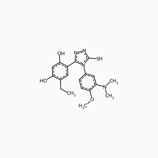 CCc1cc(-c2nnc(S)n2-c2ccc(OC)c(N(C)C)c2)c(O)cc1O